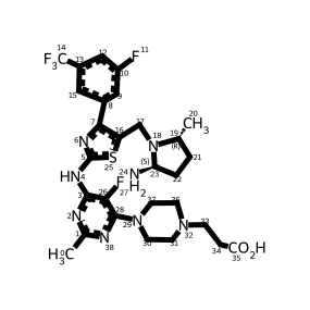 Cc1nc(Nc2nc(-c3cc(F)cc(C(F)(F)F)c3)c(CN3[C@H](C)CC[C@H]3N)s2)c(F)c(N2CCN(CCC(=O)O)CC2)n1